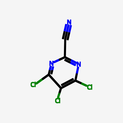 N#Cc1nc(Cl)c(Cl)c(Cl)n1